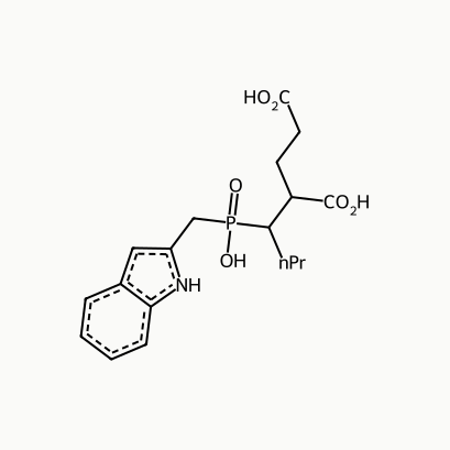 CCCC(C(CCC(=O)O)C(=O)O)P(=O)(O)Cc1cc2ccccc2[nH]1